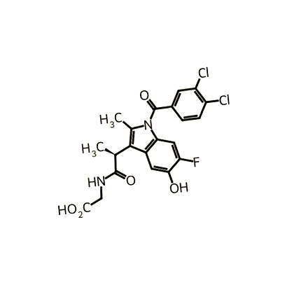 Cc1c([C@H](C)C(=O)NCC(=O)O)c2cc(O)c(F)cc2n1C(=O)c1ccc(Cl)c(Cl)c1